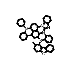 Cc1ccc2oc3ccccc3c2c1B1c2ccccc2-n2c3c1cc1c4c(ccc(c43)n3c4ccccc4nc23)N(c2ccccc2)c2ccccc2-1